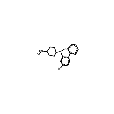 CC(C)(C)NC1CCC(N(C(=O)O)c2cc(Br)ccc2-c2ccccc2)CC1